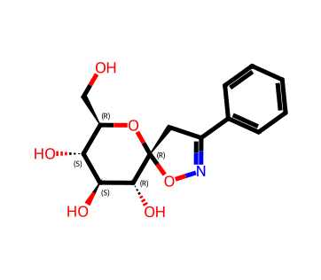 OC[C@H]1O[C@@]2(CC(c3ccccc3)=NO2)[C@H](O)[C@@H](O)[C@@H]1O